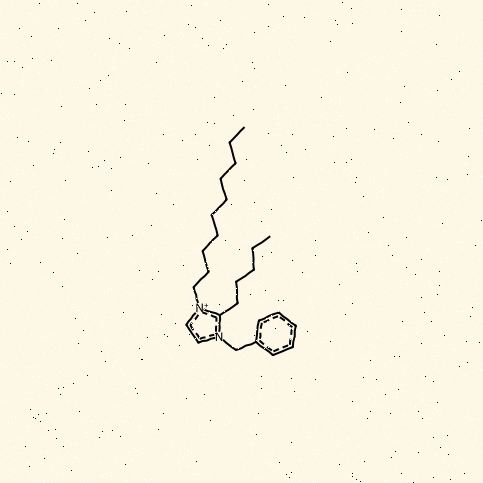 CCCCCCCCCC[n+]1ccn(Cc2ccccc2)c1CCCCC